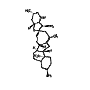 CC1=C2C[C@H]3[C@@H](CCC4C[C@H](N)CC[C@@]43C)[C@@H]2CC[C@@]2(C1)O[C@@H]1C[C@H](C)CNC1[C@H]2C